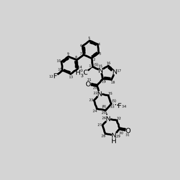 C[C@@H](c1ccccc1-c1ccc(F)cc1)n1cncc1C(=O)N1CC[C@@H](N2CCNC(=O)C2)[C@@H](F)C1